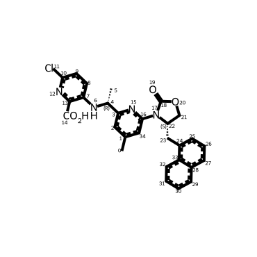 Cc1cc([C@@H](C)Nc2ccc(Cl)nc2C(=O)O)nc(N2C(=O)OC[C@@H]2Cc2cccc3ccccc23)c1